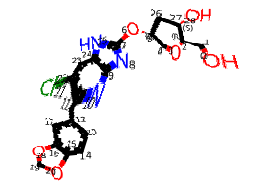 OC[C@H]1OC[C@H](Oc2nc3nc(-c4ccc5c(c4)OCO5)c(Cl)cc3[nH]2)C[C@@H]1O